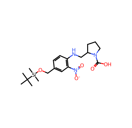 CC(C)(C)[Si](C)(C)OCc1ccc(NCC2CCCN2C(=O)O)c([N+](=O)[O-])c1